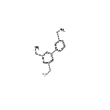 PCc1cccc(-c2cc(CP)cc(CP)c2)c1